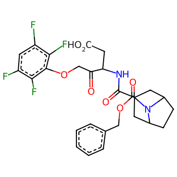 O=C(O)CC(NC(=O)C1CC2CCC(C1)N2C(=O)OCc1ccccc1)C(=O)COc1c(F)c(F)cc(F)c1F